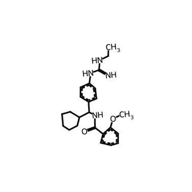 CCNC(=N)Nc1ccc(C(NC(=O)c2ccccc2OC)C2CCCCC2)cc1